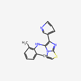 Cc1cccc(C)c1Nc1c(-c2cccnc2)nc2sccn12